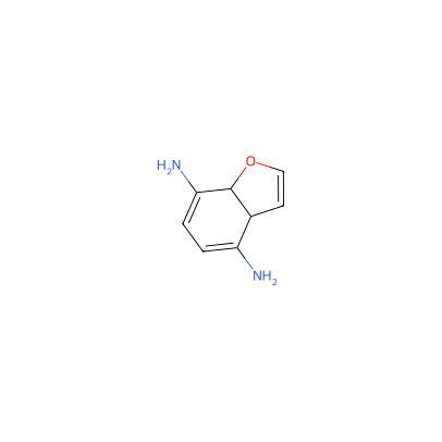 NC1=CC=C(N)C2OC=CC12